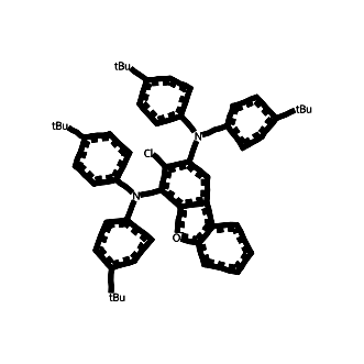 CC(C)(C)c1ccc(N(c2ccc(C(C)(C)C)cc2)c2cc3c(oc4ccccc43)c(N(c3ccc(C(C)(C)C)cc3)c3ccc(C(C)(C)C)cc3)c2Cl)cc1